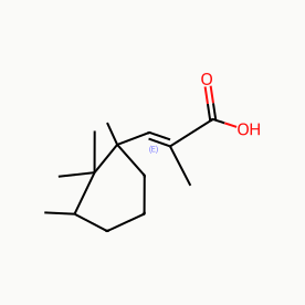 C/C(=C\C1(C)CCCC(C)C1(C)C)C(=O)O